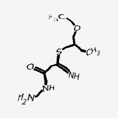 CC(OC(F)(F)F)SC(=N)C(=O)NN